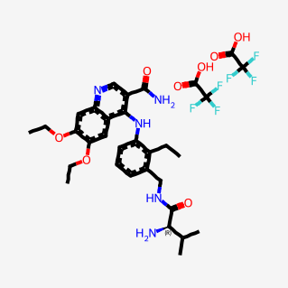 CCOc1cc2ncc(C(N)=O)c(Nc3cccc(CNC(=O)[C@H](N)C(C)C)c3CC)c2cc1OCC.O=C(O)C(F)(F)F.O=C(O)C(F)(F)F